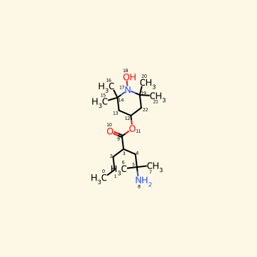 CCCC(CC(C)(C)N)C(=O)OC1CC(C)(C)N(O)C(C)(C)C1